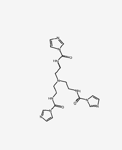 O=C(NCCN(CCNC(=O)n1ccnc1)CCNC(=O)n1ccnc1)n1ccnc1